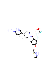 COc1cc(N)ncc1C1CCN(C(=O)c2ccc(OCc3nccs3)cc2F)CC1.O=C(O)C(F)(F)F